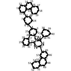 N#Cc1ccc(-c2ccc(-c3cccc4ccc5ccccc5c34)cc2)cc1-c1ccccc1-c1nc(-c2ccccc2)nc(-c2ccc3ccc4ccccc4c3c2)n1